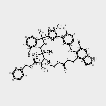 CCOC(=O)CCc1c(Oc2ccc(F)c(-c3nc(C(C)(CCC(C)(C)CN(C)C(=O)OCc4ccccc4)c4cccc(Br)c4)nn3C)c2)c(F)cc2[nH]ccc12